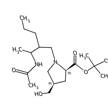 CCCC(CN1C[C@H](CO)C[C@@H]1C(=O)OC(C)(C)C)C(C)NC(C)=O